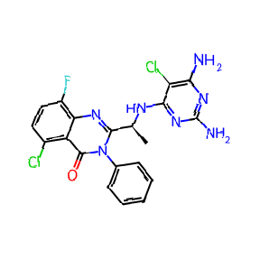 C[C@H](Nc1nc(N)nc(N)c1Cl)c1nc2c(F)ccc(Cl)c2c(=O)n1-c1ccccc1